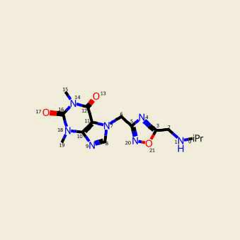 CC(C)NCc1nc(Cn2cnc3c2c(=O)n(C)c(=O)n3C)no1